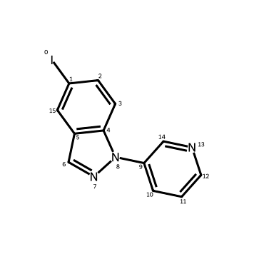 Ic1ccc2c(cnn2-c2cccnc2)c1